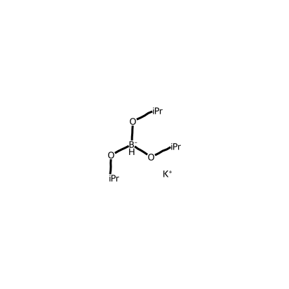 CC(C)O[BH-](OC(C)C)OC(C)C.[K+]